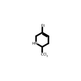 CCC1=CCC(C(Cl)(Cl)Cl)NC1